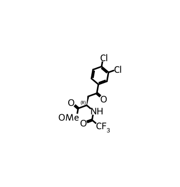 COC(=O)[C@@H](CC(=O)c1ccc(Cl)c(Cl)c1)NC(=O)C(F)(F)F